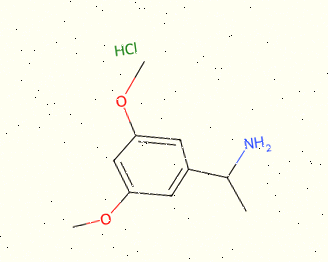 COc1cc(OC)cc(C(C)N)c1.Cl